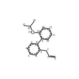 C=CCc1ccccc1-c1ccccc1OC(C)C